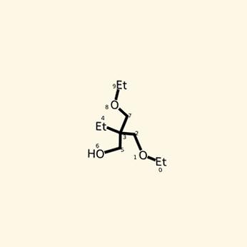 CCOCC(CC)(CO)COCC